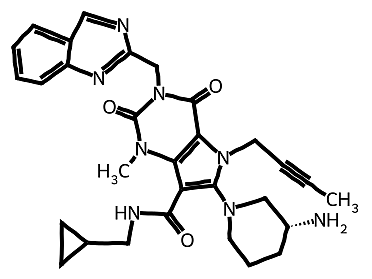 CC#CCn1c(N2CCC[C@@H](N)C2)c(C(=O)NCC2CC2)c2c1c(=O)n(Cc1ncc3ccccc3n1)c(=O)n2C